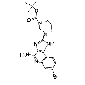 CC(C)(C)OC(=O)N1CCC[C@@H](c2nc3c(N)nc4cc(Br)ccc4c3[nH]2)C1